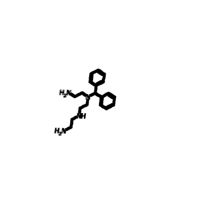 NCCNCCN(CCN)C(c1ccccc1)c1ccccc1